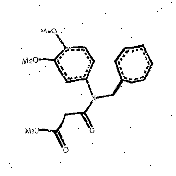 COC(=O)CC(=O)N(Cc1ccccc1)c1ccc(OC)c(OC)c1